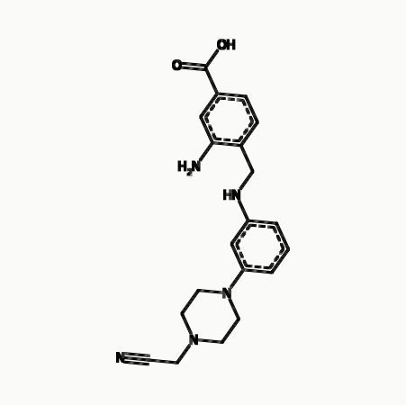 N#CCN1CCN(c2cccc(NCc3ccc(C(=O)O)cc3N)c2)CC1